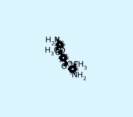 Cc1cc(N)ccc1OC(=O)c1ccc(C(=O)Oc2ccc(N)cc2C)cc1